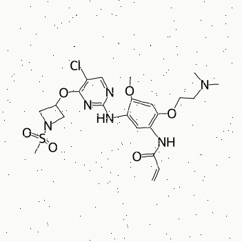 C=CC(=O)Nc1cc(Nc2ncc(Cl)c(OC3CN(S(C)(=O)=O)C3)n2)c(OC)cc1OCCN(C)C